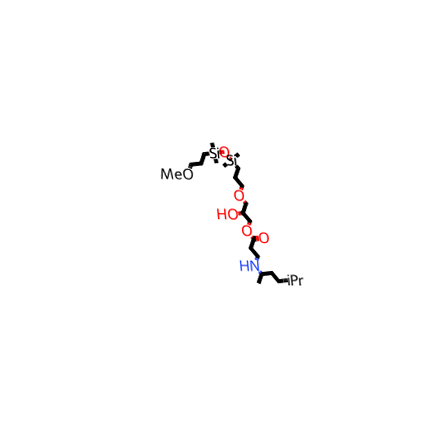 COCCC[Si](C)(C)O[Si](C)(C)CCCOCC(O)COC(=O)CCNC(C)CCC(C)C